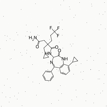 NC(=O)CC(CCC(F)(F)F)(CC1CC1)C(=O)NC1N=C(c2ccccc2)c2cccc(C3CC3)c2NC1=O